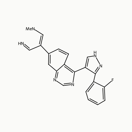 CN/C=C(\C=N)c1ccc2c(-c3c[nH]nc3-c3ccccc3F)ncnc2c1